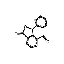 O=Cc1cccc2c1C(c1ccccn1)OC2=O